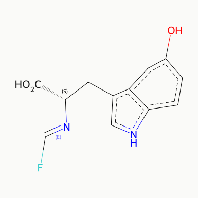 O=C(O)[C@H](Cc1c[nH]c2ccc(O)cc12)/N=C/F